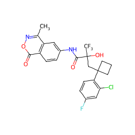 Cc1noc(=O)c2ccc(NC(=O)C(O)(CC3(c4ccc(F)cc4Cl)CCC3)C(F)(F)F)cc12